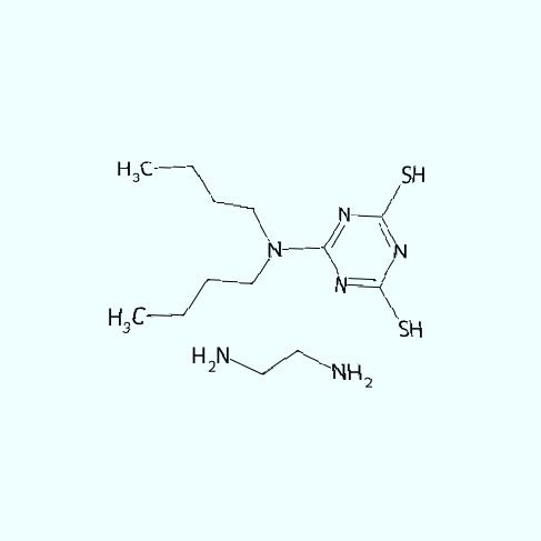 CCCCN(CCCC)c1nc(S)nc(S)n1.NCCN